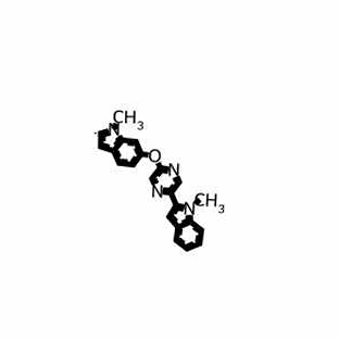 Cn1[c]cc2ccc(Oc3cnc(-c4cc5ccccc5n4C)cn3)cc21